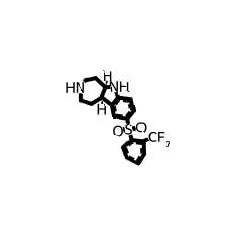 O=S(=O)(c1ccc2c(c1)[C@H]1CCNCC[C@H]1N2)c1ccccc1C(F)(F)F